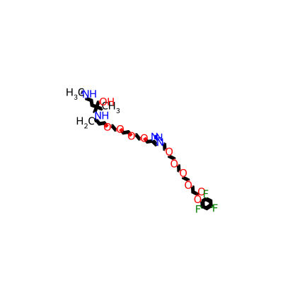 C=C(CCOCCOCCOCCOCc1cn(CCOCCOCCOCCOCCC(=O)Oc2c(F)cc(F)cc2F)nn1)NCC(CC)(CO)CCCNC